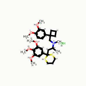 COc1ccc(C2(CN(C)C(C)CC3(c4cc(OC)c(OC)c(OC)c4)SCCCS3)CCC2)cc1OC.Cl